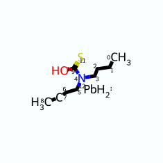 CCCCN(CCCC)C(O)=S.[PbH2]